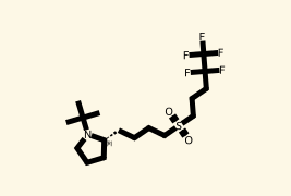 CC(C)(C)N1CCC[C@H]1CCCCS(=O)(=O)CCCC(F)(F)C(F)(F)F